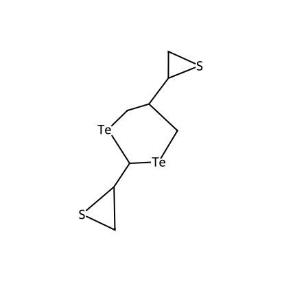 C1[Te]C(C2CS2)[Te]CC1C1CS1